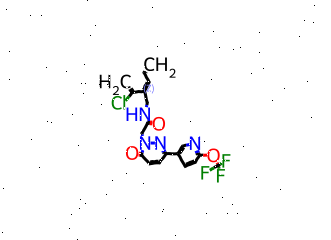 C=C/C=C(/CNC(=O)Cn1nc(-c2ccc(OC(F)(F)F)nc2)ccc1=O)C(=C)Cl